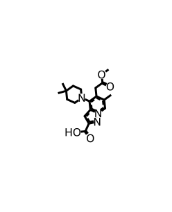 COC(=O)Cc1c(C)cn2nc(C(=O)O)cc2c1N1CCC(C)(C)CC1